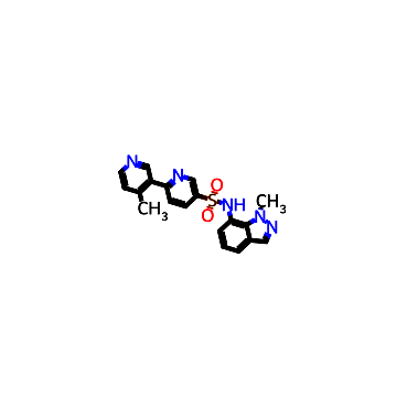 Cc1ccncc1-c1ccc(S(=O)(=O)Nc2cccc3cnn(C)c23)cn1